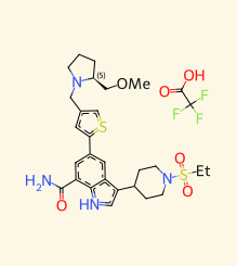 CCS(=O)(=O)N1CCC(c2c[nH]c3c(C(N)=O)cc(-c4cc(CN5CCC[C@H]5COC)cs4)cc23)CC1.O=C(O)C(F)(F)F